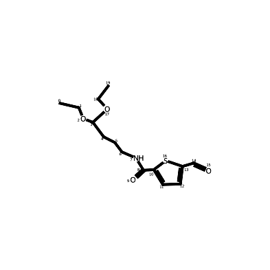 CCOC(CCCNC(=O)c1ccc(C=O)s1)OCC